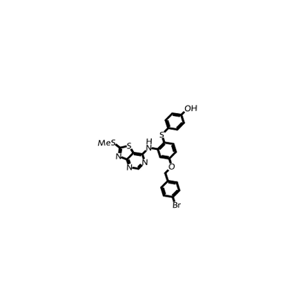 CSc1nc2ncnc(Nc3cc(OCc4ccc(Br)cc4)ccc3Sc3ccc(O)cc3)c2s1